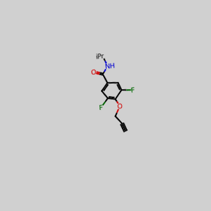 C#CCOc1c(F)cc(C(=O)NC(C)C)cc1F